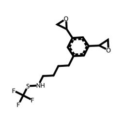 FC(F)(F)SNCCCCc1cc(C2CO2)cc(C2CO2)c1